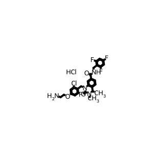 CC1c2ccc(C(=O)NCc3c(F)cc(F)cc3F)cc2N(Cc2c(F)cc(OCCN)cc2Cl)C(=O)N1C.Cl